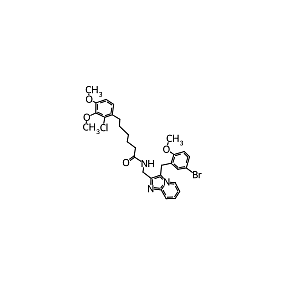 COc1ccc(Br)cc1Cc1c(CNC(=O)CCCCCc2ccc(OC)c(OC)c2Cl)nc2ccccn12